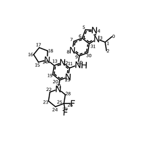 CC(C)n1ncc2cnc(Nc3nc(N4CCCC4)cc(N4CCCC(F)(F)C4)n3)cc21